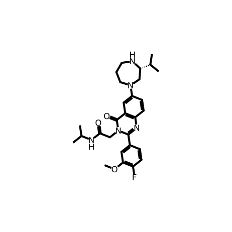 COc1cc(-c2nc3ccc(N4CCCN[C@H](C(C)C)C4)cc3c(=O)n2CC(=O)NC(C)C)ccc1F